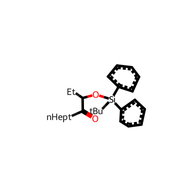 CCCCCCCC(=O)C(CC)O[Si](c1ccccc1)(c1ccccc1)C(C)(C)C